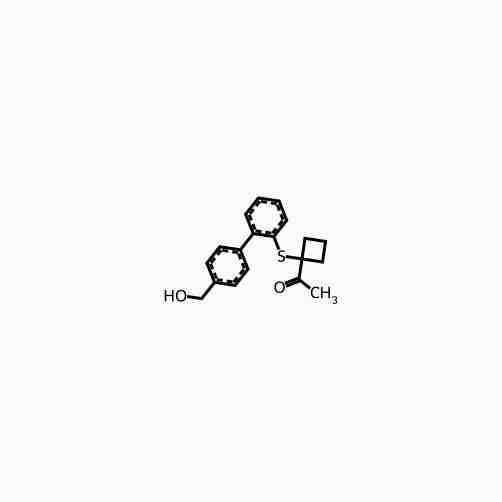 CC(=O)C1(Sc2ccccc2-c2ccc(CO)cc2)CCC1